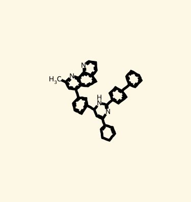 Cc1cc(-c2cccc(C3C=C(C4=CCCC=C4)N=C(c4ccc(-c5ccccc5)cc4)N3)c2)c2ccc3cccnc3c2n1